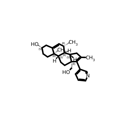 CC1=C(c2cccnc2)[C@@]2(CO)CC[C@H]3[C@@H]([C@@H](C)C=C4C[C@@H](O)CC[C@@]43C)[C@@H]2C1